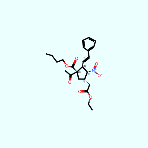 CCCCOC(=O)[C@]1(C(C)=O)C[C@@H](CC(=O)OCC)[C@@H]([N+](=O)[O-])[C@@H]1/C=C/c1ccccc1